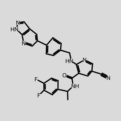 CC(NC(=O)c1cc(C#N)cnc1NCc1ccc(-c2cnc3[nH]ncc3c2)cc1)c1ccc(F)c(F)c1